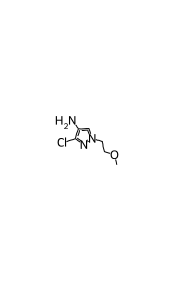 COCCn1cc(N)c(Cl)n1